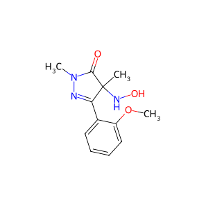 COc1ccccc1C1=NN(C)C(=O)C1(C)NO